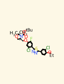 CCOc1ccc(-c2nnc(-c3cc(F)c(OC[C@H]4COC(C)(C)N4C(=O)OC(C)(C)C)cc3Cl)s2)cc1Cl